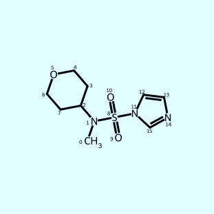 CN(C1CCOCC1)S(=O)(=O)n1ccnc1